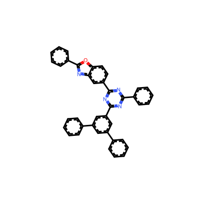 c1ccc(-c2cc(-c3ccccc3)cc(-c3nc(-c4ccccc4)nc(-c4ccc5oc(-c6ccccc6)nc5c4)n3)c2)cc1